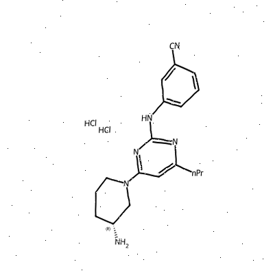 CCCc1cc(N2CCC[C@@H](N)C2)nc(Nc2cccc(C#N)c2)n1.Cl.Cl